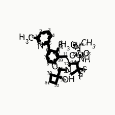 Cc1cccc(-c2cccc(C[C@H]3[C@@H](NS(=O)(=O)N(C)C)C(F)(F)CN3C(=O)C3(O)CCC3)c2F)n1